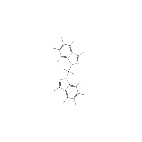 Cc1c(C)c(C)c2c(c(C)nn2C(C)(C)n2nc(C)c3c(C)c(C)c(C)c(C)c32)c1C